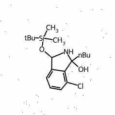 CCCCC1(O)NC(O[Si](C)(C)C(C)(C)C)c2cccc(Cl)c21